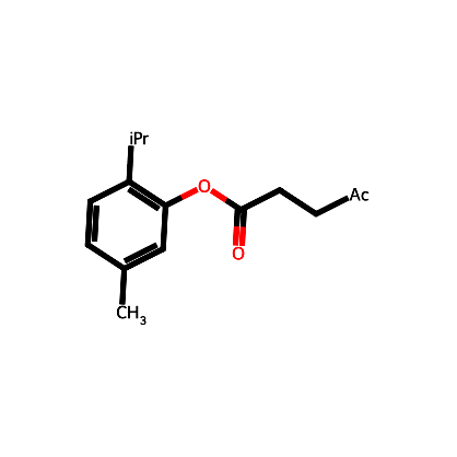 CC(=O)CCC(=O)Oc1cc(C)ccc1C(C)C